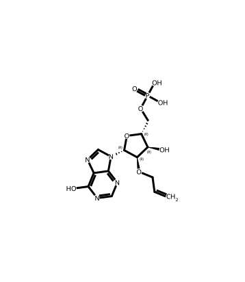 C=CCO[C@@H]1[C@H](O)[C@@H](COP(=O)(O)O)O[C@H]1n1cnc2c(O)ncnc21